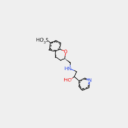 O=S(=O)(O)c1ccc2c(c1)CC[C@H](CNCC(O)c1cccnc1)O2